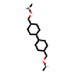 CBOCC1CCC(C2CCC(COBC)CC2)CC1